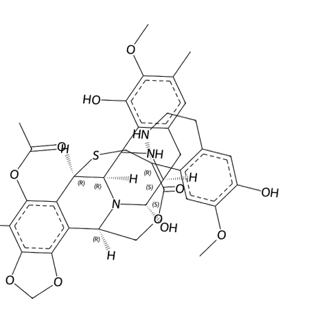 COc1cc2c(cc1O)CCN[C@]21CS[C@@H]2c3c(OC(C)=O)c(C)c4c(c3[C@H](COC1=O)N1[C@@H]2C2N[C@@H](Cc3cc(C)c(OC)c(O)c32)[C@@H]1O)OCO4